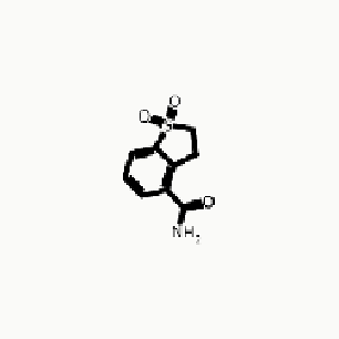 NC(=O)c1cccc2c1CCS2(=O)=O